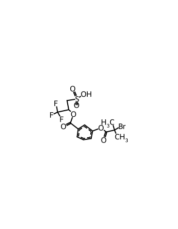 CC(C)(Br)C(=O)Oc1cccc(C(=O)OC(CS(=O)(=O)O)C(F)(F)F)c1